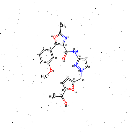 COc1cccc(-c2oc(C)nc2C(=O)Nc2ccn(Cc3ccc(C(C)=O)o3)n2)c1